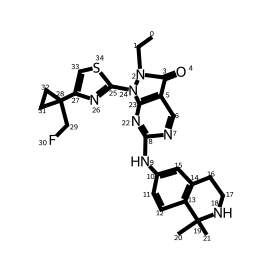 CCn1c(=O)c2cnc(Nc3ccc4c(c3)CCNC4(C)C)nc2n1-c1nc(C2(CF)CC2)cs1